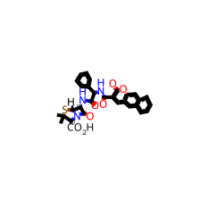 CC1(C)S[C@@H]2[C@H](NC(=O)C(NC(=O)c3cc4cc5ccccc5cc4oc3=O)c3ccccc3)C(=O)N2[C@H]1C(=O)O